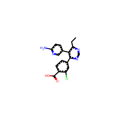 CCc1ncnc(-c2ccc(C(=O)O)c(Cl)c2)c1-c1ccc(N)nc1